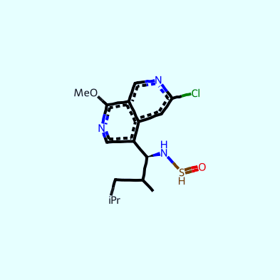 COc1ncc([C@@H](N[SH]=O)C(C)CC(C)C)c2cc(Cl)ncc12